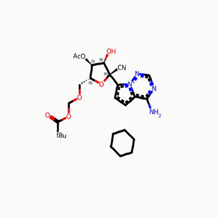 C1CCCCC1.CC(=O)O[C@H]1[C@@H](O)[C@](C#N)(c2ccc3c(N)ncnn23)O[C@@H]1COCOC(=O)C(C)(C)C